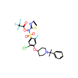 CC(C)(c1ccccc1)N1CCC(Oc2cc(F)c(S(=O)(=O)N(OC(=O)C(F)(F)F)c3nccs3)cc2Cl)CC1